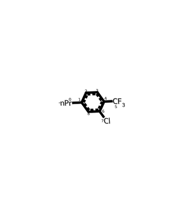 CC[CH]c1ccc(C(F)(F)F)c(Cl)c1